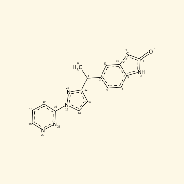 CC(c1ccc2[nH]c(=O)sc2c1)c1ccn(-c2cccnn2)n1